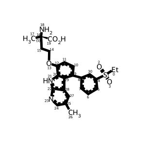 CCS(=O)(=O)c1cccc(-c2ccc(OCC[C@](C)(N)C(=O)O)c3[nH]c4ncc(C)cc4c23)c1